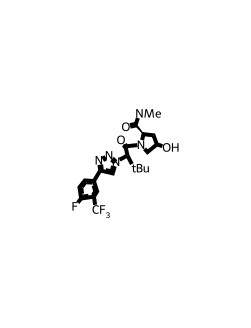 CNC(=O)[C@H]1CC(O)CN1C(=O)C(n1cc(-c2ccc(F)c(C(F)(F)F)c2)nn1)C(C)(C)C